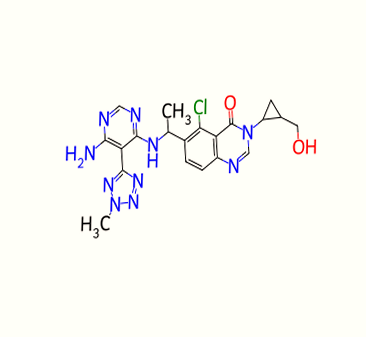 CC(Nc1ncnc(N)c1-c1nnn(C)n1)c1ccc2ncn(C3CC3CO)c(=O)c2c1Cl